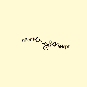 CCCCCCCOc1ccc(C(=O)Oc2ccc(CCC3CCC(CCCCC)CC3)cc2C#N)cc1